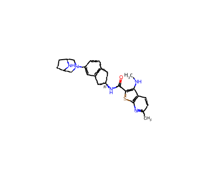 CNc1c(C(=O)N[C@@H]2Cc3ccc(N4CC5CCC(C4)N5)cc3C2)sc2nc(C)ccc12